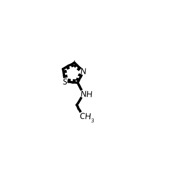 CCNc1n[c]cs1